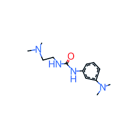 CN(C)CCNC(=O)Nc1cccc(N(C)C)c1